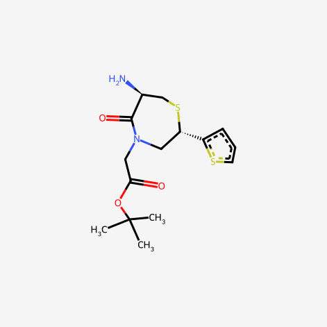 CC(C)(C)OC(=O)CN1C[C@@H](c2cccs2)SC[C@H](N)C1=O